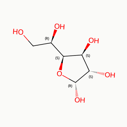 OC[C@@H](O)[C@@H]1O[C@@H](O)[C@@H](O)[C@@H]1O